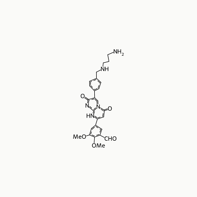 COc1cc(-c2cc(=O)n3cc(-c4ccc(CNCCCN)cc4)c(=O)nc3[nH]2)cc(C=O)c1OC